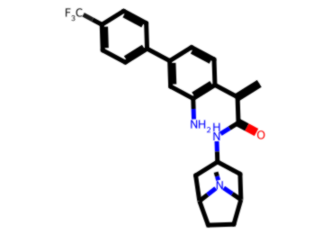 C=C(C(=O)NC1CC2CCC(C1)N2C)c1ccc(-c2ccc(C(F)(F)F)cc2)cc1N